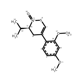 COc1ccc(C2=CS[N+](=O)[C@H](C(C)C)C2)c(OC)c1